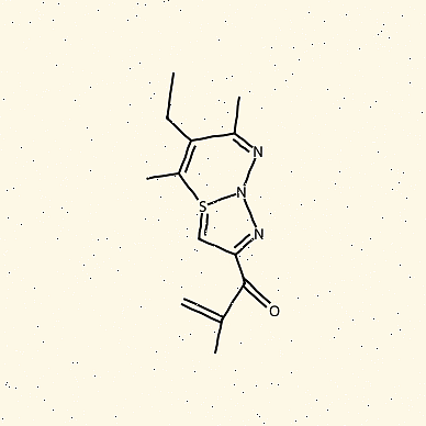 C=C(C)C(=O)C1=NN2N=C(C)C(CC)=C(C)S2=C1